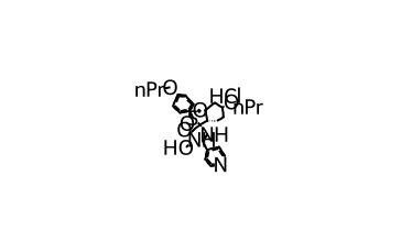 CCCOc1ccc(S(=O)(=O)[C@@](NCc2ccncc2)(C(=O)NO)[C@H]2CC[C@H](OCCC)CC2)cc1.Cl